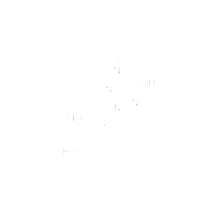 CSC[C@H]1O[C@@H](n2cnc3c2N=CNCC3O)CC1O